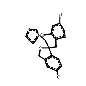 Clc1ccc(CC2(Cn3ccnc3)SCc3cc(Cl)ccc32)c(Cl)c1